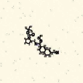 C=NO/C(=N\CC1CCCN1C(=O)OC(C)(C)C)c1ccc2ccc(C#N)cc2c1